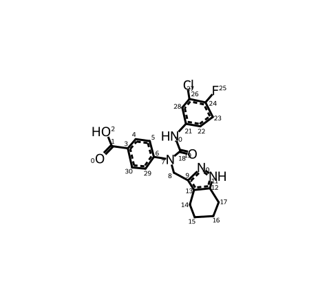 O=C(O)c1ccc(N(Cc2n[nH]c3c2CCCC3)C(=O)Nc2ccc(F)c(Cl)c2)cc1